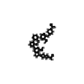 COc1nc(-c2cccc(-c3cccc(-c4cc5c(c(OC)n4)C(N4CC6(CN(C(C)=O)C6)C4)CC5)c3Cl)c2Cl)cnc1CN1CCN(C(C)=O)CC1